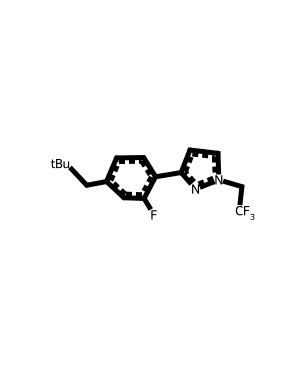 CC(C)(C)Cc1ccc(-c2ccn(CC(F)(F)F)n2)c(F)c1